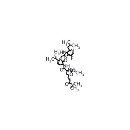 COC(=O)N[C@@H](CC/C=C/C(=O)N(C)C)C(=O)Nc1ccc(C(C)C)n(Cc2nc3c(F)cnc(CC(C)C)c3[nH]2)c1=O